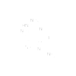 NCCNC(=O)c1cncc(-c2cnc(Nc3cc(N4CCC(F)CC4)ccn3)s2)c1